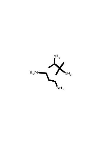 CC(N)C(C)(C)N.NCCCN